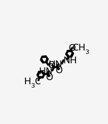 COc1ccc(NCCNC(=O)C(CNC(=O)c2cccc(C)c2)OCc2ccccc2)cc1